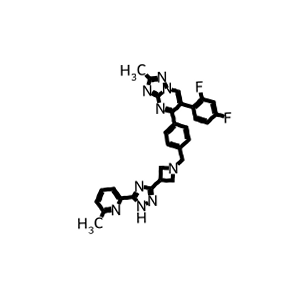 Cc1cccc(-c2nc(C3CN(Cc4ccc(-c5nc6nc(C)nn6cc5-c5ccc(F)cc5F)cc4)C3)n[nH]2)n1